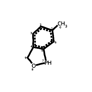 Cc1ccc2c(c1)POC2